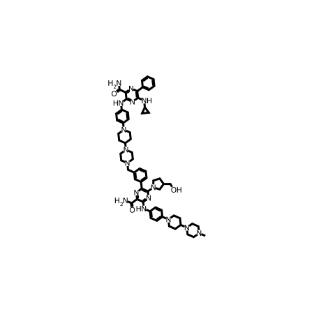 CN1CCN(C2CCN(c3ccc(Nc4nc(N5CCC(CO)C5)c(-c5cccc(CN6CCN(C7CCN(c8ccc(Nc9nc(NC%10CC%10)c(-c%10ccccc%10)nc9C(N)=O)cc8)CC7)CC6)c5)nc4C(N)=O)cc3)CC2)CC1